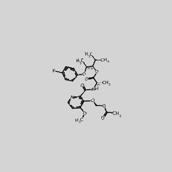 COc1ccnc(C(=O)N[C@@H](C)C(=O)O[C@H](C(C)C)[C@H](C)Oc2ccc(F)cc2)c1OCOC(C)=O